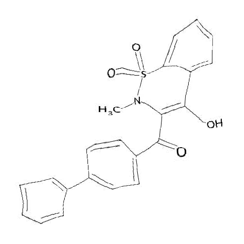 CN1C(C(=O)c2ccc(-c3ccccc3)cc2)=C(O)c2ccccc2S1(=O)=O